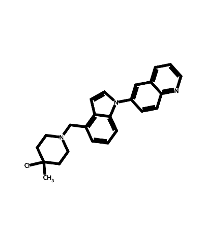 CC1(Cl)CCN(Cc2cccc3c2ccn3-c2ccc3ncccc3c2)CC1